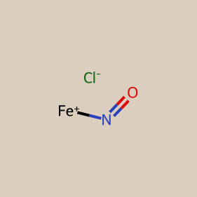 O=[N][Fe+].[Cl-]